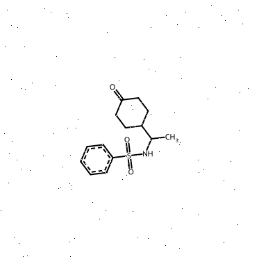 CC(NS(=O)(=O)c1ccccc1)C1CCC(=O)CC1